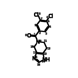 O=C(c1ccc(Cl)c(Cl)c1)N1CCc2[nH]cnc2C1